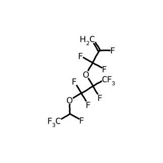 C=C(F)C(F)(F)OC(F)(C(F)(F)F)C(F)(F)OC(F)C(F)(F)F